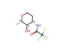 C[C@@H]1O[CH]C[C@H](NC(=O)C(F)(F)F)[C@H]1O